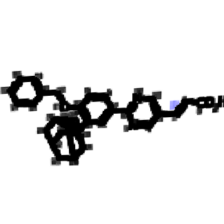 O=C(O)/C=C/c1cnc(-c2ccc(OCc3ccccc3)c(C34CC5CC(C3)C(=O)C(C5)C4)c2)nc1